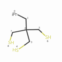 CC(C)CC(CS)(CS)CS